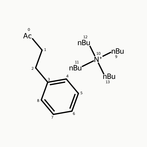 CC(=O)CCc1ccccc1.CCCC[N+](CCCC)(CCCC)CCCC